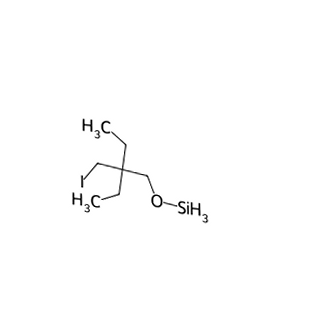 CCC(CC)(CI)CO[SiH3]